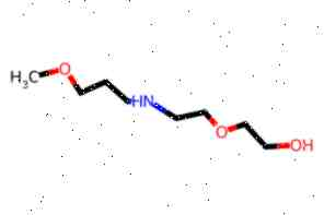 COCCCNCCOCCO